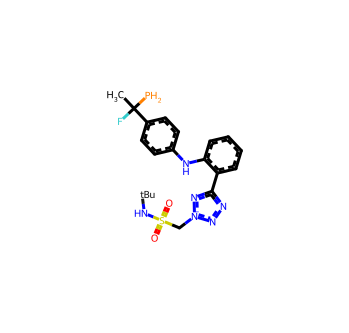 CC(C)(C)NS(=O)(=O)Cn1nnc(-c2ccccc2Nc2ccc(C(C)(F)P)cc2)n1